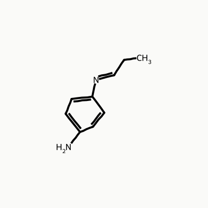 CCC=Nc1ccc(N)cc1